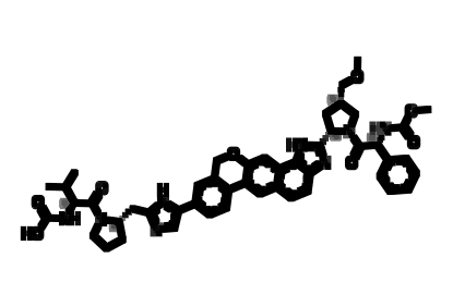 COC[C@H]1C[C@@H](c2nc3ccc4cc5c(cc4c3[nH]2)OCc2cc(-c3cnc(C[C@@H]4CCCN4C(=O)[C@@H](NC(=O)O)C(C)C)[nH]3)ccc2-5)N(C(=O)[C@H](NC(=O)OC)c2ccccc2)C1